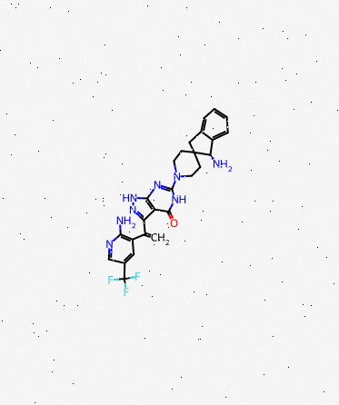 C=C(c1cc(C(F)(F)F)cnc1N)c1n[nH]c2nc(N3CCC4(CC3)Cc3ccccc3[C@H]4N)[nH]c(=O)c12